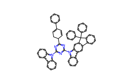 C1=CC(c2nc(-n3c4ccccc4c4ccccc43)nc(-n3c4ccccc4c4cc5c(cc43)C(c3ccccc3)(c3ccccc3)c3ccccc3-5)n2)CC=C1c1ccccc1